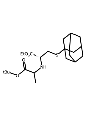 CCOC(=O)[C@H](CSC12CC3CC(CC(C3)C1)C2)NC(C)C(=O)OC(C)(C)C